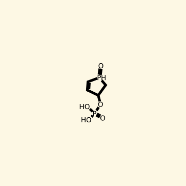 O=[PH]1C=CC(OP(=O)(O)O)C1